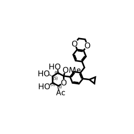 COC1(c2ccc(C3CC3)c(Cc3ccc4c(c3)OCCO4)c2)O[C@H](C(C)=O)[C@@H](O)[C@H](O)[C@H]1O